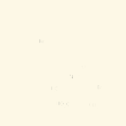 Cc1c(C(=O)O)c(C)n(-c2ccc(Br)cc2)c(=O)c1Br